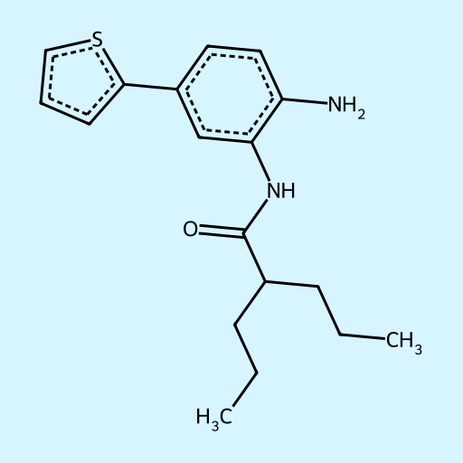 CCCC(CCC)C(=O)Nc1cc(-c2cccs2)ccc1N